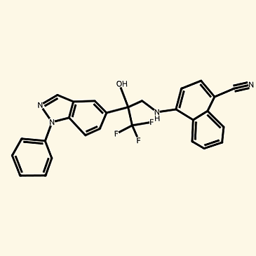 N#Cc1ccc(NCC(O)(c2ccc3c(cnn3-c3ccccc3)c2)C(F)(F)F)c2ccccc12